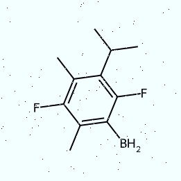 Bc1c(C)c(F)c(C)c(C(C)C)c1F